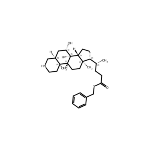 C[C@H](CCC(=O)SCc1ccccc1)[C@H]1CC[C@H]2[C@@H]3[C@@H](O)C[C@@H]4CNCC[C@]4(C)[C@H]3CC[C@]12C